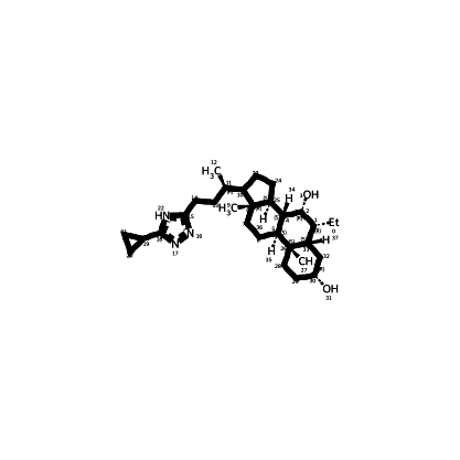 CC[C@H]1[C@@H](O)[C@@H]2[C@H](CC[C@]3(C)C([C@H](C)CCc4nnc(C5CC5)[nH]4)CC[C@@H]23)[C@@]2(C)CC[C@@H](O)C[C@@H]12